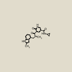 Cc1cc2c(CN(C)C(=O)c3cc(C(=O)NC4CC4)c[nH]c3=O)cccc2[nH]1